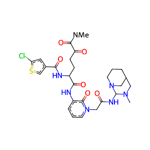 CNC(=O)C(=O)CCC(NC(=O)c1csc(Cl)c1)C(=O)Nc1cccn(CC(=O)NC2N(C)CC3CCCN2C3)c1=O